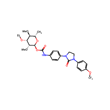 CCO[C@@H]1[C@@H](OC)[C@H](C)O[C@@H](OC(=O)Nc2ccc(N3CCN(c4ccc(OC(F)(F)F)cc4)C3=O)cc2)[C@@H]1OC